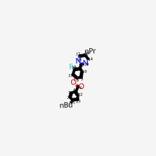 CCCCc1ccc(C(=O)Oc2ccc(-c3ncc(CCC)cn3)c(F)c2)cc1